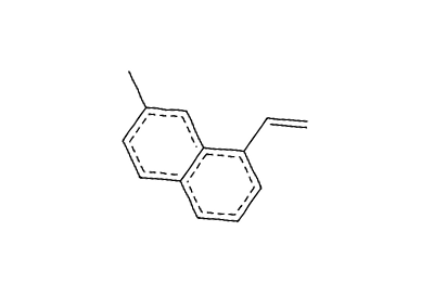 C=Cc1cccc2ccc(C)cc12